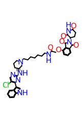 O=C(COc1cccc2c1C(=O)N(C1CCC(=O)NC1=O)C2=O)NCCCCCCCN1CCC[C@@H](Nc2ncc(Cl)c(-c3c[nH]c4ccccc34)n2)C1